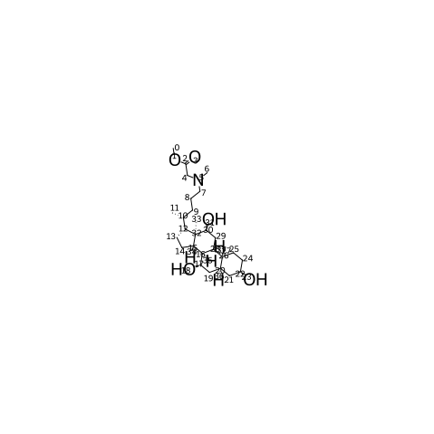 COC(=O)CN(C)CCC[C@@H](C)[C@H]1CC[C@H]2[C@@H]3[C@H](O)C[C@@H]4C[C@H](O)CC[C@]4(C)[C@H]3C[C@H](O)[C@]12C